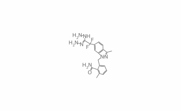 Cc1cccc(Cn2nc(C)c3ccc(C(F)(F)/C(=N/N)NN)cc32)c1C(N)=O